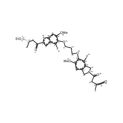 CCOC(=O)[C@@H](C)CC(=O)c1cc2c(F)c(OCCCOc3c(OC)cc4c(c3F)CN(C(=O)CC(C)=C=O)C4)c(OC)cc2s1